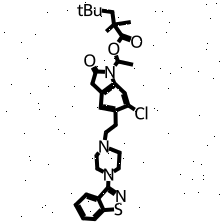 CC(OC(=O)C(C)(C)CC(C)(C)C)N1C(=O)Cc2cc(CCN3CCN(c4nsc5ccccc45)CC3)c(Cl)cc21